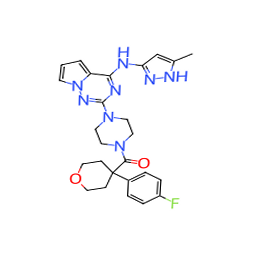 Cc1cc(Nc2nc(N3CCN(C(=O)C4(c5ccc(F)cc5)CCOCC4)CC3)nn3cccc23)n[nH]1